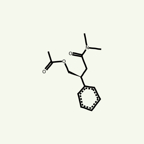 CC(=O)OC[C@@H](CC(=O)N(C)C)c1ccccc1